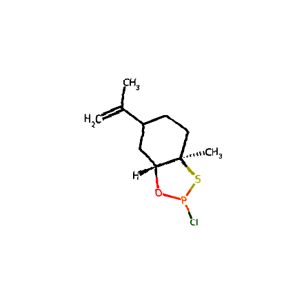 C=C(C)C1CC[C@@]2(C)SP(Cl)O[C@@H]2C1